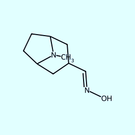 CN1C2CCC1CC(C=NO)C2